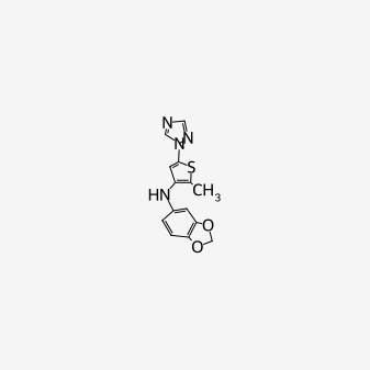 Cc1sc(-n2cncn2)cc1Nc1ccc2c(c1)OCO2